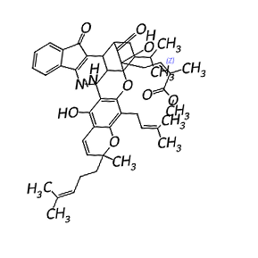 COC(=O)/C(C)=C\CC1(O)C(=O)C2CC(C(C)C)C13Oc1c(CC=C(C)C)c4c(c(O)c1C15NCCN1C1=C(C(=O)c6ccccc61)C2C53)C=CC(C)(CCC=C(C)C)O4